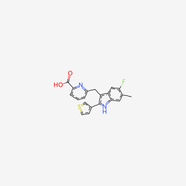 Cc1cc2[nH]c(-c3ccsc3)c(Cc3cccc(C(=O)O)n3)c2cc1F